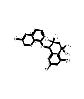 CC1(C)CC(O)(C(F)(F)F)C(Nc2cccc3cc(O)ccc23)c2cc(Cl)cc(O)c21